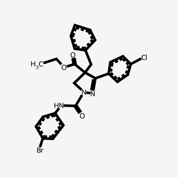 CCOC(=O)C1(Cc2ccccc2)CN(C(=O)Nc2ccc(Br)cc2)N=C1c1ccc(Cl)cc1